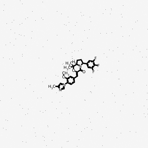 COc1cc(C=C2OC(C)(C)[C@H]3CCC(c4cc(F)c(F)c(F)c4)N3C2=O)ccc1-n1cnc(C)c1